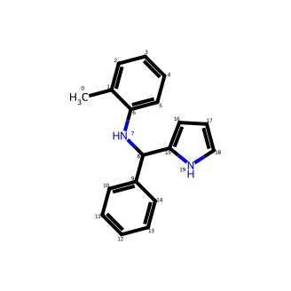 Cc1ccccc1NC(c1ccccc1)c1ccc[nH]1